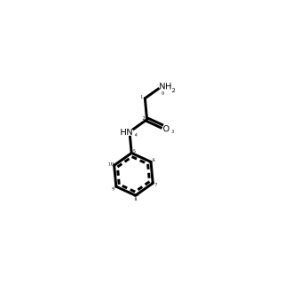 NCC(=O)Nc1cc[c]cc1